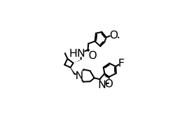 COc1ccc(CC(=O)NC[C@H]2C(C)C[C@@H]2CN2CCC(c3noc4cc(F)ccc34)CC2)cc1